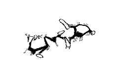 CCCCCCCCCCCC1OC1CCC(=O)NC1=CC(=O)CCC1=O